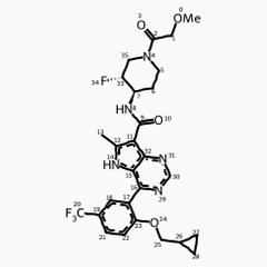 COCC(=O)N1CC[C@@H](NC(=O)c2c(C)[nH]c3c(-c4cc(C(F)(F)F)ccc4OCC4CC4)ncnc23)[C@H](F)C1